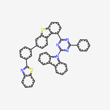 c1ccc(-c2nc(-c3cccc4sc5cc(-c6cccc(-c7nc8ccccc8s7)c6)ccc5c34)nc(-n3c4ccccc4c4ccccc43)n2)cc1